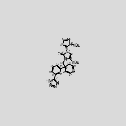 CCCCc1cn(-c2ncnn2C(C)CC)c(=O)n1CC1(c2cccc(-c3nnn[nH]3)c2)C=CN=CC1